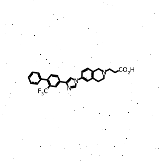 O=C(O)CCN1CCc2cc(-n3cnc(-c4ccc(-c5ccccc5)c(C(F)(F)F)c4)c3)ccc2C1